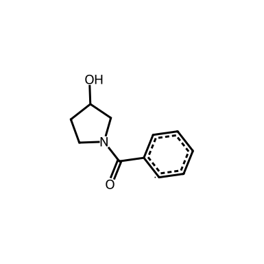 O=C(c1[c]cccc1)N1CCC(O)C1